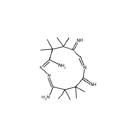 CC1(C)C(=N)/C=N\C(=N)C(C)(C)C(C)(C)/C(N)=N/N=C(\N)C1(C)C